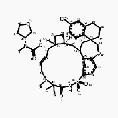 CN(C(=O)O[C@H]1/C=C/CN(C)C(C)(C)C(=O)NS(=O)(=O)c2ccc3c(c2)N(C[C@@H]2CC[C@H]21)C[C@@]1(CCCc2cc(Cl)ccc21)CO3)[C@@H]1CCOC1